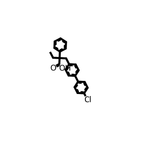 CCC(Cc1ccc(-c2ccc(Cl)cc2)cc1)(C(=O)O)c1ccccc1